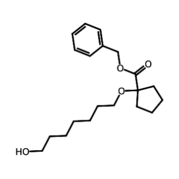 O=C(OCc1ccccc1)C1(OCCCCCCCO)CCCC1